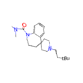 CN(C)C(=O)N1CCCC2(CCN(CCC(C)(C)C)CC2)c2ccccc21